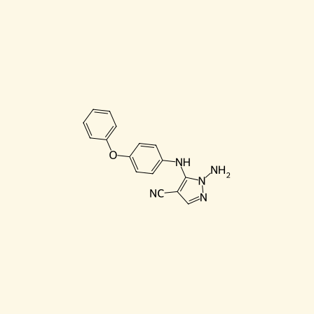 N#Cc1cnn(N)c1Nc1ccc(Oc2ccccc2)cc1